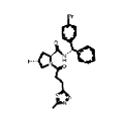 Cc1nnc(CCC(=O)N2C[C@H](F)C[C@H]2C(=O)N[C@@H](c2ccccc2)c2ccc(C(C)C)cc2)s1